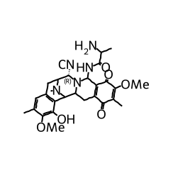 COC1=C(C)C(=O)C2=C(C1=O)C(NC(=O)C(C)N)N1C(C2)C2c3c(cc(C)c(OC)c3O)CC([C@@H]1C#N)N2C